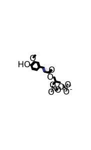 COc1cc(/C=C/C(=O)OCC(CO[N+](=O)[O-])O[N+](=O)[O-])ccc1O